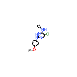 CC(C)Oc1ccc(Nc2ncc(Cl)c(NC3CCC3)n2)cc1